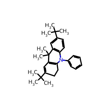 CC(C)(C)C1=CC2=C(CC1)N(c1ccccc1)c1ccc(C(C)(C)C)cc1C2(C)C